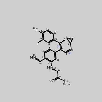 C/C(=C(\C=C/C1C=C1)c1ccc(C=N)c(NCC(N)=O)c1)c1ccc(F)c(C)c1